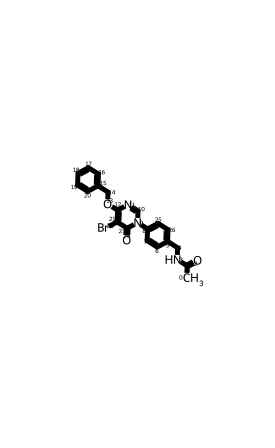 CC(=O)NCc1ccc(-n2cnc(OCc3ccccc3)c(Br)c2=O)cc1